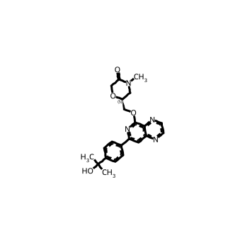 CN1C[C@@H](COc2nc(-c3ccc(C(C)(C)O)cc3)cc3nccnc23)OCC1=O